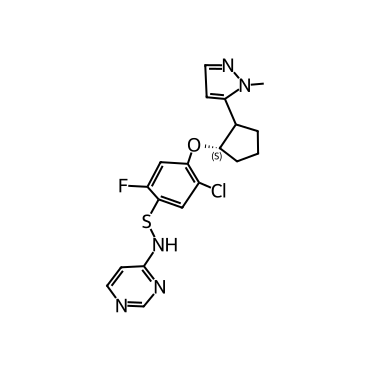 Cn1nccc1C1CCC[C@@H]1Oc1cc(F)c(SNc2ccncn2)cc1Cl